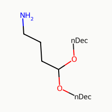 CCCCCCCCCCOC(CCCN)OCCCCCCCCCC